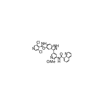 COc1ncc(-c2n[nH]c3ccc(O[C@H](N)c4c(Cl)cncc4Cl)cc23)cc1NC(=O)c1cccc2cccnc12